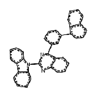 c1cc(-c2cccc3ccccc23)cc(-c2nc(-n3c4ccccc4c4ccccc43)nc3ccccc23)c1